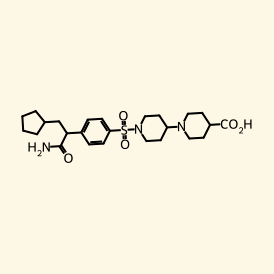 NC(=O)C(CC1CCCC1)c1ccc(S(=O)(=O)N2CCC(N3CCC(C(=O)O)CC3)CC2)cc1